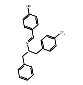 Oc1ccc(/C=N/N(Cc2ccccc2)Cc2ccc(C(F)(F)F)cc2)cc1